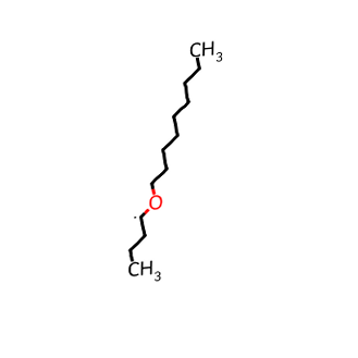 CCC[CH]OCCCCCCCCC